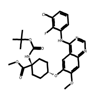 COc1cc2ncnc(Nc3cccc(Cl)c3F)c2cc1O[C@H]1CC[C@@](NC(=O)OC(C)(C)C)(C(=O)OC)CC1